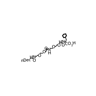 CCCCCCCCCCCC(=O)NCCOCCOCC(=O)NCCOCCOCC(=O)N[C@H](Cc1ccccc1)C(=O)O